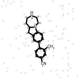 Cc1cc(C#N)ccc1-c1ccc2c(c1)CC1CCNCCN21